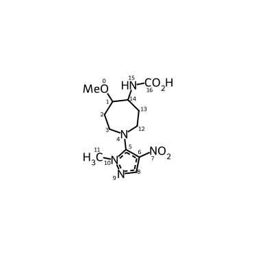 COC1CCN(c2c([N+](=O)[O-])cnn2C)CCC1NC(=O)O